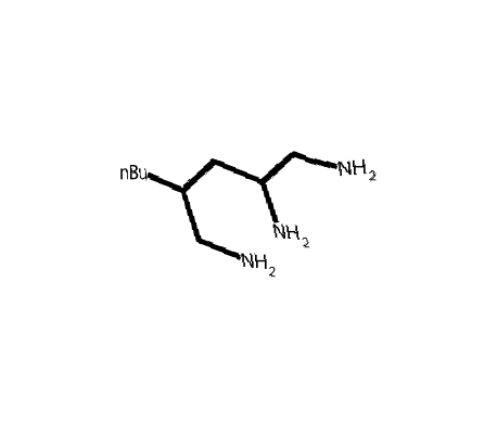 CCCCC(CN)CC(N)CN